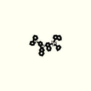 c1ccc(-c2nc(-c3cccc4ccccc34)nc(-c3ccc(-n4c5ccc(-n6c7ccccc7c7ccccc76)cc5c5cc6ccccc6cc54)c4ccccc34)n2)cc1